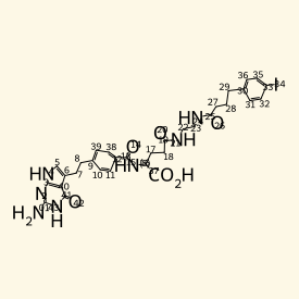 Nc1nc2[nH]cc(CCc3ccc(C(=O)N[C@@H](CCC(=O)NCCNC(=O)CCCc4ccc(I)cc4)C(=O)O)cc3)c2c(=O)[nH]1